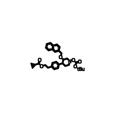 CC(C)(C)OC(=O)ON1CCC(c2ccc(CCOC(=O)C3CC3)cc2)C(OCc2ccc3ccccc3c2)C1